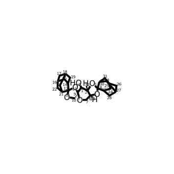 OC1[C@@H]2OC3(O[C@@H]2CO[C@]12COC1(O2)C2CC4CC(C2)CC1C4)C1CC2CC(C1)CC3C2